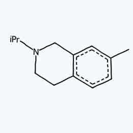 Cc1ccc2c(c1)CN(C(C)C)CC2